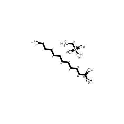 CCCCCCCCCCCC(=O)O.CCS(=O)(=O)O